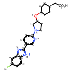 O=C(O)C[C@H]1CC[C@@H](OC2CCN(c3ccc(-c4nc5cc(F)ccc5[nH]4)cn3)C2)CC1